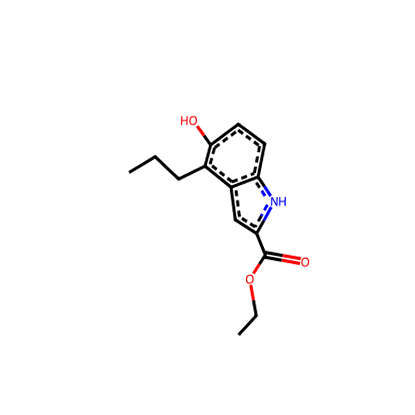 CCCc1c(O)ccc2[nH]c(C(=O)OCC)cc12